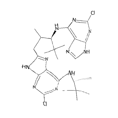 CC(Cc1nc2c(N[C@H](C)C(C)(C)C)nc(Cl)nc2[nH]1)[C@@H](Nc1nc(Cl)nc2[nH]cnc12)C(C)(C)C